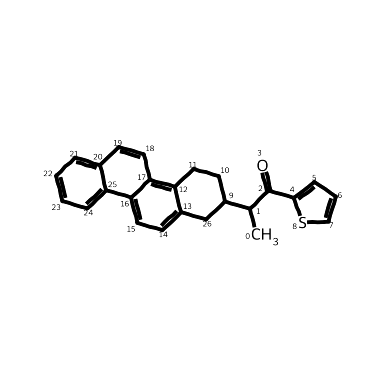 CC(C(=O)c1cccs1)C1CCc2c(ccc3c2ccc2ccccc23)C1